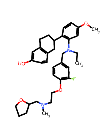 CCN(Cc1ccc(OCCN(C)CC2CCCO2)c(F)c1)c1cc(OC)ccc1C1CCc2cc(O)ccc2C1